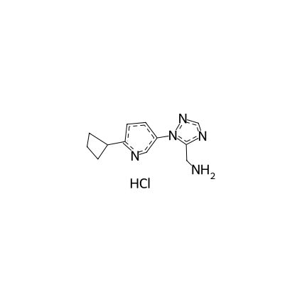 Cl.NCc1ncnn1-c1ccc(C2CCC2)nc1